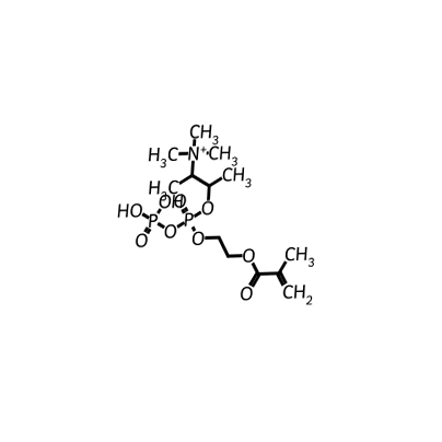 C=C(C)C(=O)OCCOP(=O)(OC(C)C(C)[N+](C)(C)C)OP(=O)(O)O